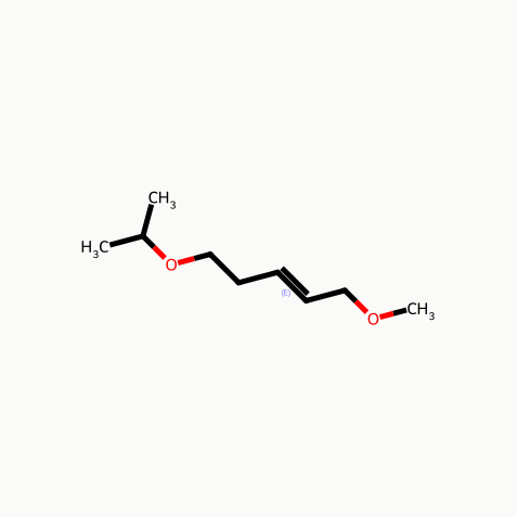 COC/C=C/CCOC(C)C